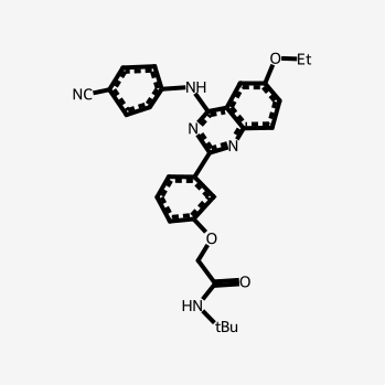 CCOc1ccc2nc(-c3cccc(OCC(=O)NC(C)(C)C)c3)nc(Nc3ccc(C#N)cc3)c2c1